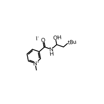 C[n+]1cccc(C(=O)NC(O)CC(C)(C)C)c1.[I-]